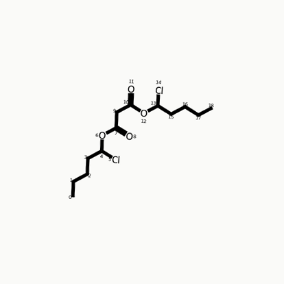 CCCCC(Cl)OC(=O)CC(=O)OC(Cl)CCCC